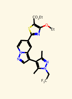 CCOC(=O)c1sc(-c2ccn3ncc(-c4c(C)nn(CC(F)(F)F)c4C)c3c2)nc1OCC